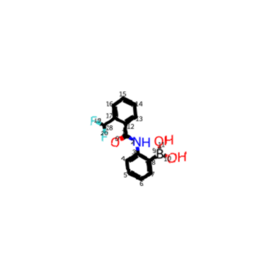 O=C(Nc1ccccc1B(O)O)c1ccccc1C(F)F